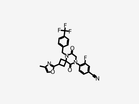 Cc1coc(C2CC3(C2)C(=O)N(c2ccc(C#N)cc2F)CC(=O)N3Cc2ccc(C(F)(F)F)cc2)n1